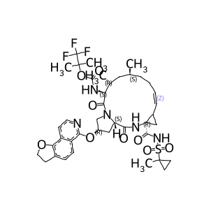 C[C@H]1CC/C=C\C2C[C@@]2(C(=O)NS(=O)(=O)C2(C)CC2)NC(=O)[C@@H]2C[C@@H](Oc3nccc4c5c(ccc34)CCO5)CN2C(=O)[C@@H](NC(=O)OC(C)(C)C(F)(F)F)[C@H](C)C1